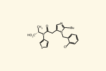 CCCCc1ncc(CC(=O)N(c2ccsc2)[C@@H](C)C(=O)O)n1Cc1ccccc1Cl